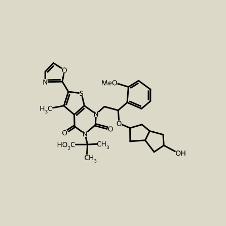 COc1ccccc1C(Cn1c(=O)n(C(C)(C)C(=O)O)c(=O)c2c(C)c(-c3ncco3)sc21)OC1CC2CC(O)CC2C1